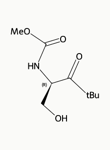 COC(=O)N[C@H](CO)C(=O)C(C)(C)C